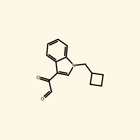 O=CC(=O)c1cn(CC2CCC2)c2ccccc12